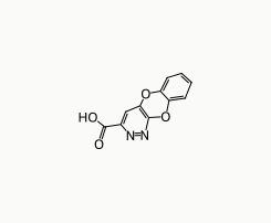 O=C(O)c1cc2c(nn1)Oc1ccccc1O2